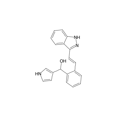 OC(c1cc[nH]c1)c1ccccc1C=Cc1n[nH]c2ccccc12